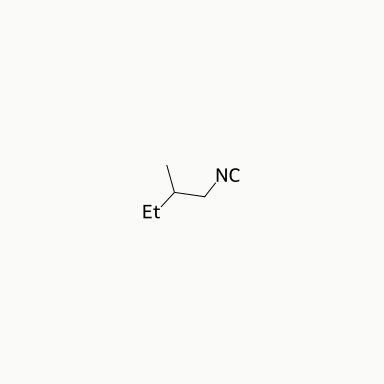 [C-]#[N+]CC(C)CC